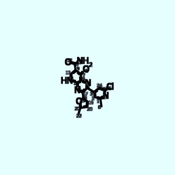 Cc1cc(-c2nc3c(=O)c(C(N)=O)c[nH]c3nc2-c2ccc(C)o2)cc(Cl)n1